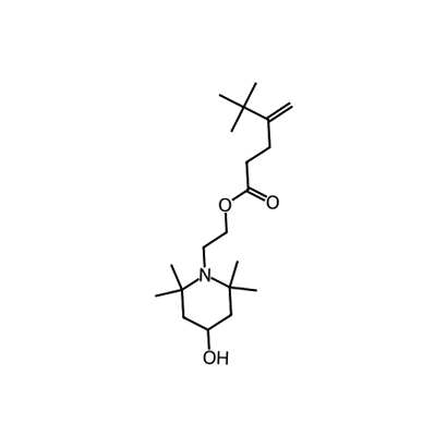 C=C(CCC(=O)OCCN1C(C)(C)CC(O)CC1(C)C)C(C)(C)C